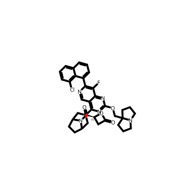 O=C1C[C@@H](C(=O)N2C3CCC2CN(c2nc(OCC45CCCN4CCC5)nc4c(F)c(-c5cccc6cccc(Cl)c56)ncc24)C3)O1